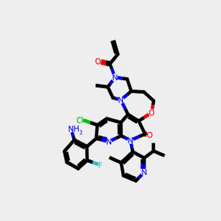 C=CC(=O)N1CC2CCOc3c(c4cc(Cl)c(-c5c(N)cccc5F)nc4n(-c4c(C)ccnc4C(C)C)c3=O)N2CC1C